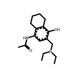 CCN(CC)Cc1cc(NC(C)=O)c2c(c1O)CCCC2